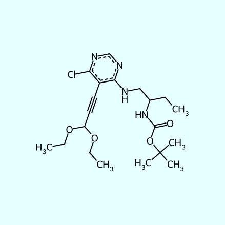 CCOC(C#Cc1c(Cl)ncnc1NCC(CC)NC(=O)OC(C)(C)C)OCC